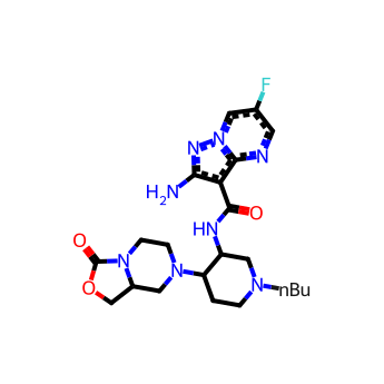 CCCCN1CCC(N2CCN3C(=O)OCC3C2)C(NC(=O)c2c(N)nn3cc(F)cnc23)C1